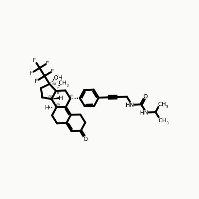 CC(C)NC(=O)NCC#Cc1ccc([C@H]2C[C@@]3(C)[C@@H](CC[C@@]3(O)C(F)(F)C(F)(F)F)[C@@H]3CCC4=CC(=O)CCC4=C32)cc1